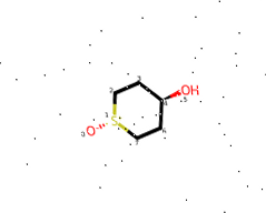 [O-][S@+]1CC[C@@H](O)CC1